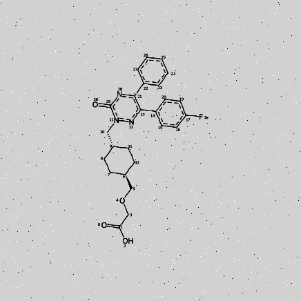 O=C(O)COC[C@H]1CC[C@H](Cn2nc(-c3ccc(F)cc3)c(-c3ccccc3)nc2=O)CC1